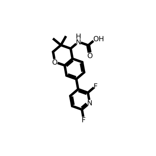 CC1(C)COc2cc(-c3ccc(F)nc3F)ccc2C1NC(=O)O